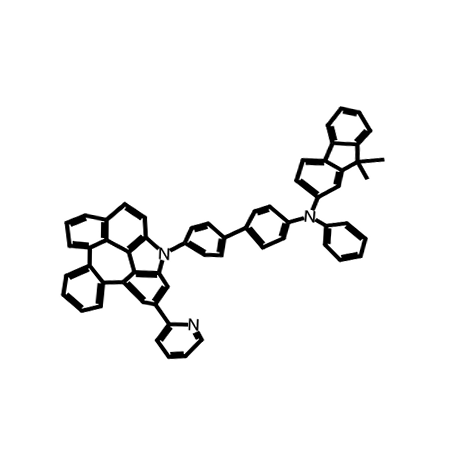 CC1(C)c2ccccc2-c2ccc(N(c3ccccc3)c3ccc(-c4ccc(-n5c6cc(-c7ccccn7)cc7c6c6c8c(cccc8ccc65)-c5ccccc5-7)cc4)cc3)cc21